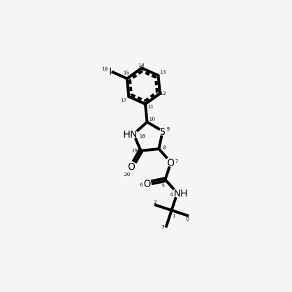 CC(C)(C)NC(=O)OC1SC(c2cccc(I)c2)NC1=O